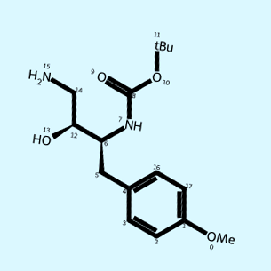 COc1ccc(C[C@H](NC(=O)OC(C)(C)C)[C@@H](O)CN)cc1